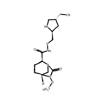 N#CC[C@H]1CN[C@H](CONC(=O)[C@@H]2CC[C@@H]3CN2C(=O)N3OS(=O)(=O)O)C1